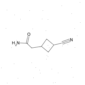 N#CC1CC(CC(N)=O)C1